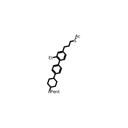 CCCCCC1CCC(c2ccc(-c3ccc(CCCSC(C)=O)cc3CC)cc2)CC1